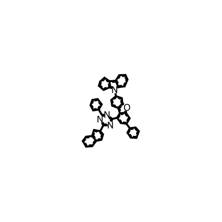 c1ccc(-c2cc(-c3nc(-c4ccccc4)nc(-c4ccc5ccccc5c4)n3)c3c(c2)oc2cc(-n4c5ccccc5c5ccccc54)ccc23)cc1